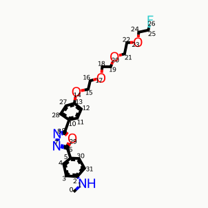 CNc1ccc(-c2nnc(-c3ccc(OCCOCCOCCOCCF)cc3)o2)cc1